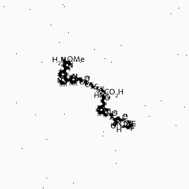 COc1ncc(-c2ccc3nccc(-c4ccc(COC(=O)OCCSSCC(NC(=O)CCc5cccc6c5CN(C(=O)C[C@@H]5C[C@@H](C(=O)N7CC(F)(F)C[C@H]7C)NC5=O)C6)C(=O)O)nc4)c3c2)cc1N